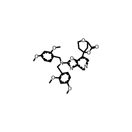 COc1ccc(CN(Cc2ccc(OC)cc2OC)c2nc3cncc(C45CCOC(C4)C(=O)O5)c3o2)c(OC)c1